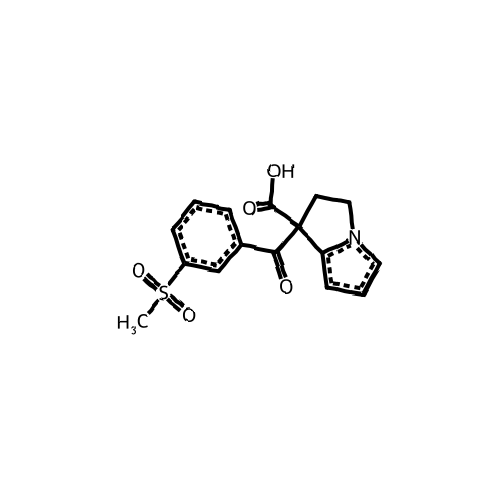 CS(=O)(=O)c1cccc(C(=O)C2(C(=O)O)CCn3cccc32)c1